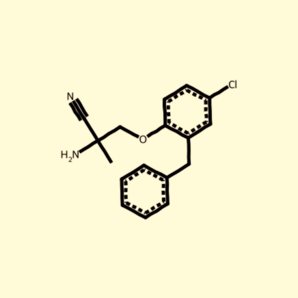 CC(N)(C#N)COc1ccc(Cl)cc1Cc1ccccc1